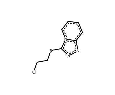 ClCCSc1nnc2ccccn12